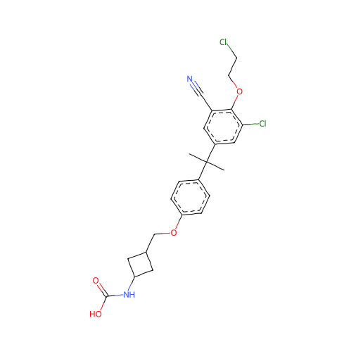 CC(C)(c1ccc(OCC2CC(NC(=O)O)C2)cc1)c1cc(Cl)c(OCCCl)c(C#N)c1